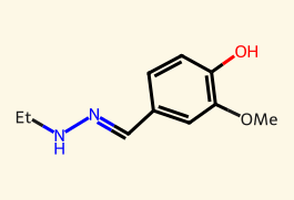 CCN/N=C/c1ccc(O)c(OC)c1